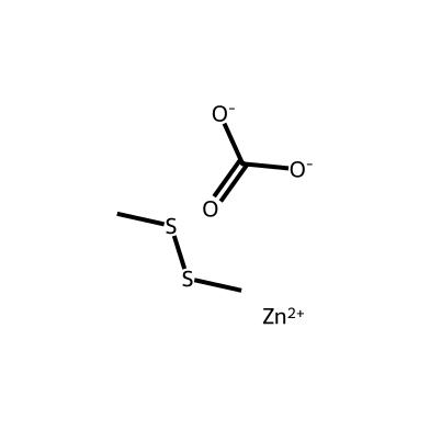 CSSC.O=C([O-])[O-].[Zn+2]